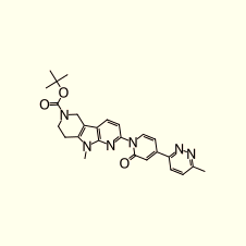 Cc1ccc(-c2ccn(-c3ccc4c5c(n(C)c4n3)CCN(C(=O)OC(C)(C)C)C5)c(=O)c2)nn1